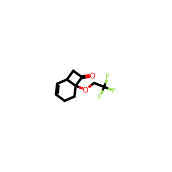 O=C1CC2C=CCCC12OCC(F)(F)F